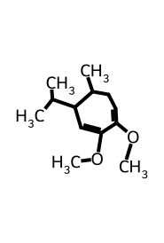 COC1=CCC(C)C(C(C)C)C=C1OC